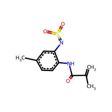 C=C(C)C(=O)Nc1ccc(C)cc1N=S(=O)=O